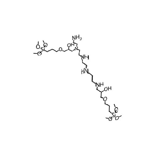 CO[Si](CCCOCC(O)CNCCNCCNCCN(CCN)CC(O)COCCC[Si](OC)(OC)OC)(OC)OC